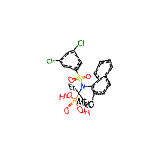 CCC(CC)(N(c1c(OC)ccc2ccccc12)S(=O)(=O)c1cc(Cl)cc(Cl)c1)P(=O)(O)O